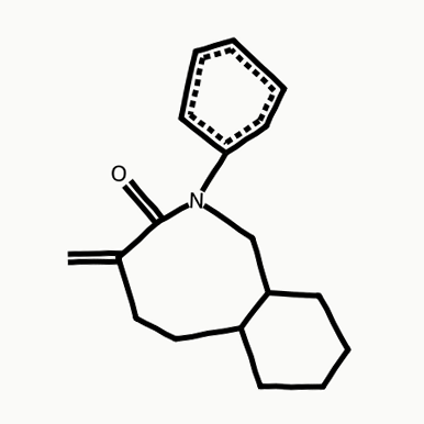 C=C1CCC2CCCCC2CN(c2ccccc2)C1=O